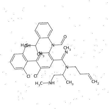 C=CCCN(/C(=N/C)c1cc(Cl)c(-c2c(O)cccc2Cl)nc1N(C=O)c1ccccc1C(C)C)C(C)CNC